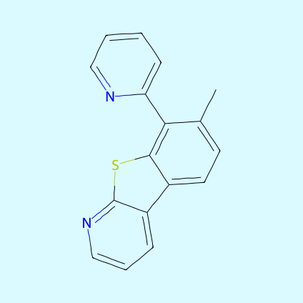 Cc1ccc2c(sc3ncccc32)c1-c1ccccn1